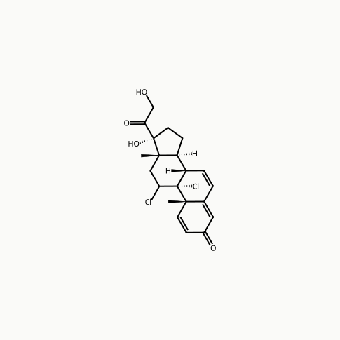 C[C@]12C=CC(=O)C=C1C=C[C@H]1[C@@H]3CC[C@](O)(C(=O)CO)[C@@]3(C)CC(Cl)[C@@]12Cl